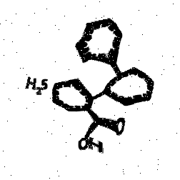 O=C(O)c1ccccc1-c1ccccc1-c1ccccc1.S